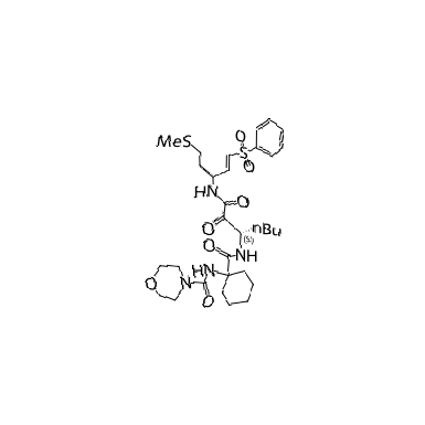 CCCC[C@H](NC(=O)C1(NC(=O)N2CCOCC2)CCCCC1)C(=O)C(=O)NC(C=CS(=O)(=O)c1ccccc1)CCSC